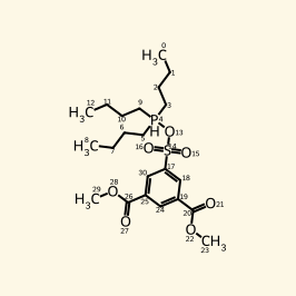 CCCC[PH](CCCC)(CCCC)OS(=O)(=O)c1cc(C(=O)OC)cc(C(=O)OC)c1